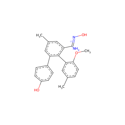 COc1ccc(C)cc1-c1c(/C(N)=N/O)cc(C)cc1-c1ccc(O)cc1